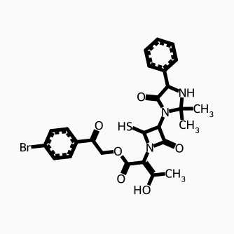 CC(O)=C(C(=O)OCC(=O)c1ccc(Br)cc1)N1C(=O)C(N2C(=O)C(c3ccccc3)NC2(C)C)C1S